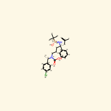 C=C(C)C[C@](CCCN(C(=O)O)[C@@H](C)c1ccc(Br)cc1)(N[S@+]([O-])C(C)(C)C)c1ccccc1